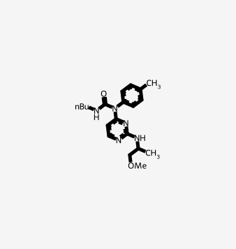 CCCCNC(=O)N(c1ccc(C)cc1)c1ccnc(NC(C)COC)n1